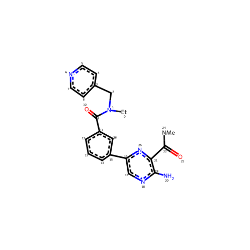 CCN(Cc1ccncc1)C(=O)c1cccc(-c2cnc(N)c(C(=O)NC)n2)c1